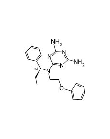 CC[C@@H](c1ccccc1)N(CCOc1ccccc1)c1nc(N)nc(N)n1